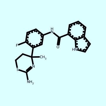 CC1(c2cc(NC(=O)c3cccc4cc[nH]c34)ccc2F)CCSC(N)=N1